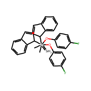 [CH3][Zr]([CH3])(=[SiH2])([O]c1ccc(F)cc1)([O]c1ccc(F)cc1)([CH]1C=Cc2ccccc21)[CH]1C=Cc2ccccc21